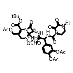 CCN1CCN(C(=O)NC(C(=O)N[C@@H]2C(=O)N3C(C(=O)OC(C)(C)C)=C(COC(C)=O)C[S+]([O-])C23NC=O)c2ccc(OC(C)=O)c(OC(C)=O)c2)C(=O)C1=O